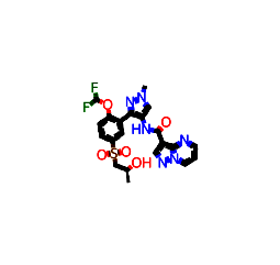 C[C@H](O)CS(=O)(=O)c1ccc(OC(F)F)c(-c2nn(C)cc2NC(=O)c2cnn3cccnc23)c1